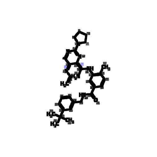 C=C/N=C1/C=NC(N2CCCC2)=N/C1=C(/N)Nc1cc(C(=O)NCc2cccc(C(C)(C)C)c2)ccc1C